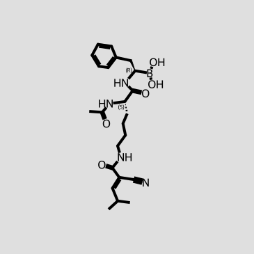 CC(=O)N[C@@H](CCCCNC(=O)C(C#N)=CC(C)C)C(=O)N[C@@H](Cc1ccccc1)B(O)O